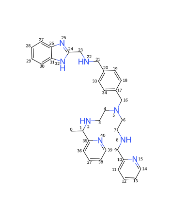 CC(NCCN(CCNCc1ccccn1)Cc1ccc(CNCc2nc3ccccc3[nH]2)cc1)c1ccccn1